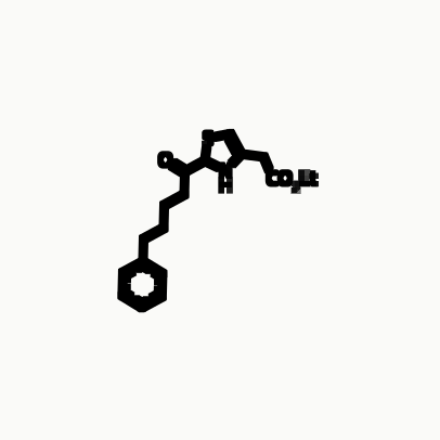 CCOC(=O)CC1=CSC(C(=O)CCCCc2ccccc2)N1